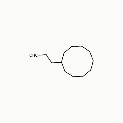 O=CCCC1CCCCCCCCC1